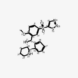 COc1ccc(S(=O)(=O)c2cnns2)cc1CN[C@H]1CCCN[C@@H]1c1ccccc1